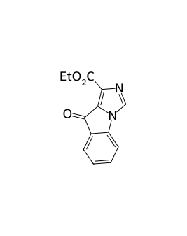 CCOC(=O)c1ncn2c1C(=O)c1ccccc1-2